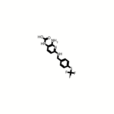 Nc1nc(NCc2ccc(SC(F)(F)F)cc2)ccc1NC(=O)O